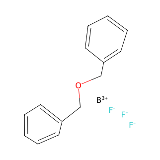 [B+3].[F-].[F-].[F-].c1ccc(COCc2ccccc2)cc1